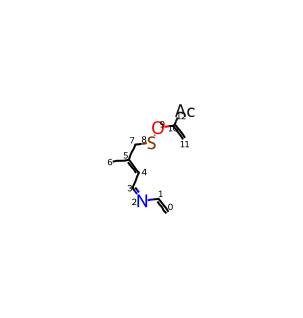 C=C/N=C\C=C(/C)CSOC(=C)C(C)=O